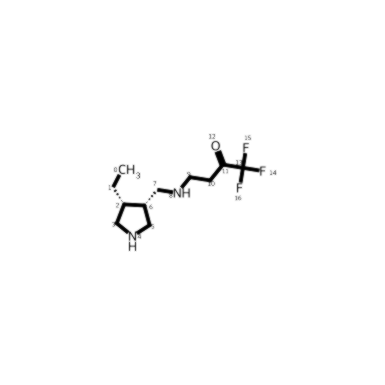 CC[C@H]1CNC[C@H]1CNCCC(=O)C(F)(F)F